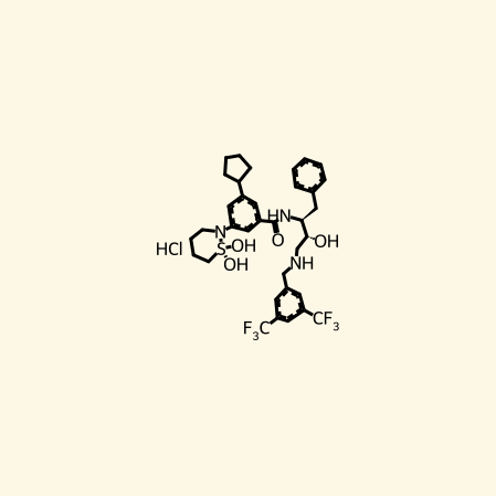 Cl.O=C(N[C@@H](Cc1ccccc1)[C@H](O)CNCc1cc(C(F)(F)F)cc(C(F)(F)F)c1)c1cc(C2CCCC2)cc(N2CCCCS2(O)O)c1